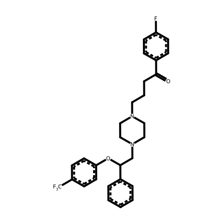 O=C(CCCN1CCN(CC(Oc2ccc(C(F)(F)F)cc2)c2ccccc2)CC1)c1ccc(F)cc1